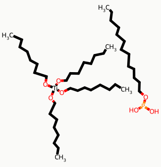 CCCCCCCCCCCCCOP(O)O.CCCCCCCC[O][Ti]([O]CCCCCCCC)([O]CCCCCCCC)[O]CCCCCCCC